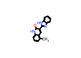 Cc1cccc2[nH]c(=O)c(-c3nc4ccccc4[nH]3)cc12